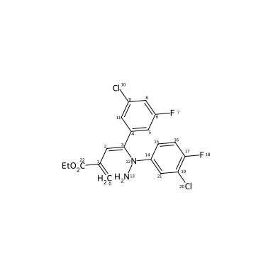 C=C(/C=C(/c1cc(F)cc(Cl)c1)N(N)c1ccc(F)c(Cl)c1)C(=O)OCC